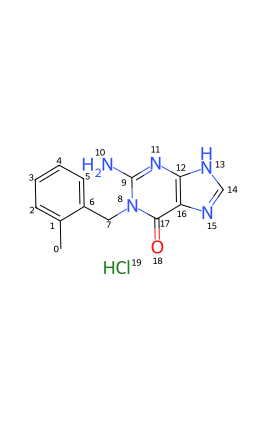 Cc1ccccc1Cn1c(N)nc2[nH]cnc2c1=O.Cl